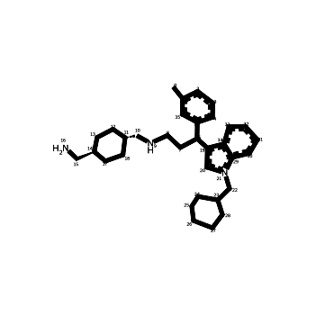 Cc1cccc(C(CCNC[C@H]2CC[C@H](CN)CC2)c2cn(CC3CCCCC3)c3ccccc23)c1